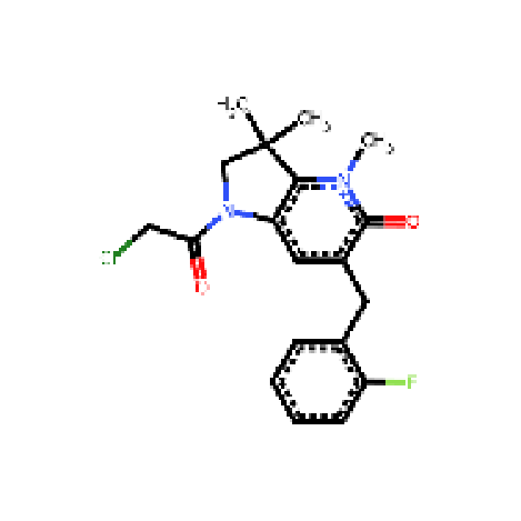 Cn1c2c(cc(Cc3ccccc3F)c1=O)N(C(=O)CCl)CC2(C)C